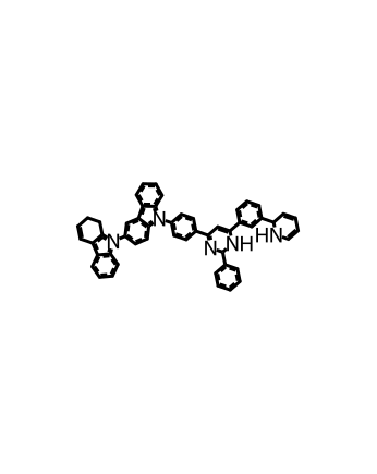 C1=CNC(c2cccc(C3=CC(c4ccc(-n5c6ccccc6c6cc(-n7c8c(c9ccccc97)C=CCC8)ccc65)cc4)=NC(c4ccccc4)N3)c2)C=C1